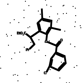 CCOC(=O)C(CC(C)C)c1cc(C)cc(C)c1OC(=O)c1cccc(Cl)c1